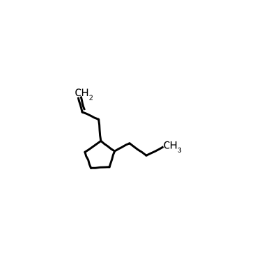 C=CCC1CCCC1CCC